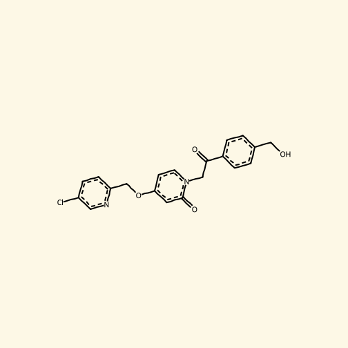 O=C(Cn1ccc(OCc2ccc(Cl)cn2)cc1=O)c1ccc(CO)cc1